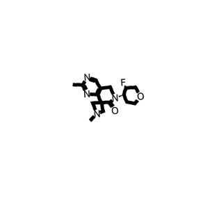 Cc1ncc2c(n1)C1(CN(C)C1)C(=O)N([C@H]1CCOC[C@H]1F)C2